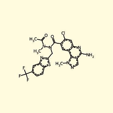 CC(=O)N(C)N(Cc1nc2cc(C(F)(F)F)ccc2s1)C(=O)c1cc2c(cc1Cl)nc(N)c1cnn(C)c12